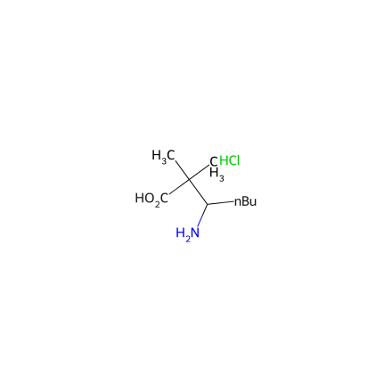 CCCCC(N)C(C)(C)C(=O)O.Cl